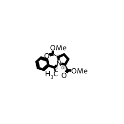 COC(=O)[C@@H]1CC[C@@H](C(=O)OC)N1[C@@H](C)c1ccccc1